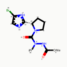 COC(=O)NN(C(=O)N1CCC[C@H]1c1ncc(Br)[nH]1)C(C)C